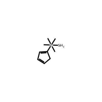 [CH3][Zr]([CH3])([CH3])([CH3])([SiH3])[C]1=CC=CC1